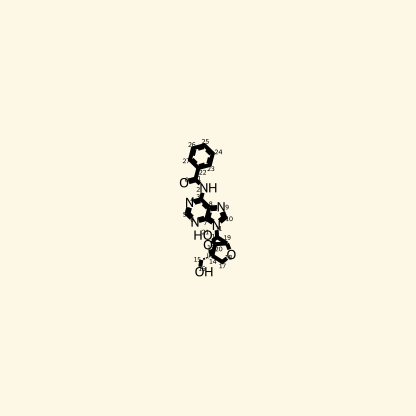 O=C(Nc1ncnc2c1ncn2C1O[C@]2(CO)COC1C2O)c1ccccc1